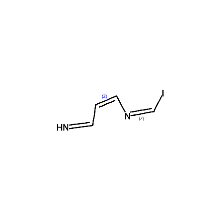 N=C/C=C\N=C/I